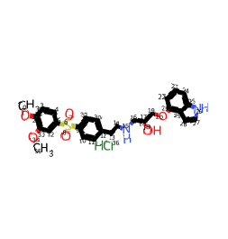 COc1ccc(S(=O)(=O)c2ccc(CCNC[C@H](O)COc3cccc4[nH]ccc34)cc2)cc1OC.Cl